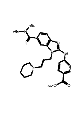 CCCCN(CCCC)C(=O)c1ccc2nc(Nc3ccc(C(=O)OC)cc3)n(CCCN3CCCCC3)c2c1